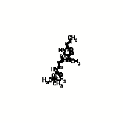 CCCC(=O)N[C@@H](CCCCNC(=O)OC(C)(C)C)C(=O)NC